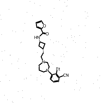 CCc1c(C#N)cccc1N1CCCN(CC[C@H]2C[C@@H](NC(=O)c3ccco3)C2)CC1